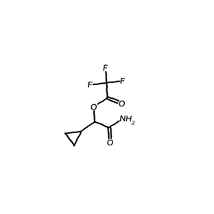 NC(=O)C(OC(=O)C(F)(F)F)C1CC1